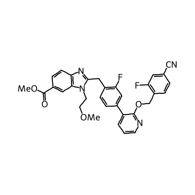 COCCn1c(Cc2ccc(-c3cccnc3OCc3ccc(C#N)cc3F)cc2F)nc2ccc(C(=O)OC)cc21